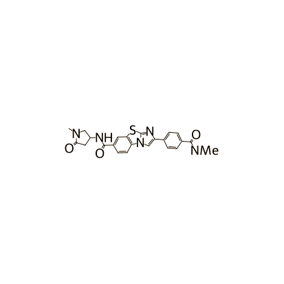 CNC(=O)c1ccc(-c2cn3c(n2)sc2cc(C(=O)NC4CC(=O)N(C)C4)ccc23)cc1